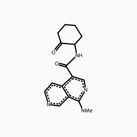 CNc1ncc(C(=O)NC2CCCCC2=O)c2ccncc12